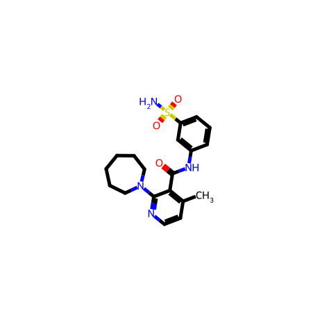 Cc1ccnc(N2CCCCCC2)c1C(=O)Nc1cccc(S(N)(=O)=O)c1